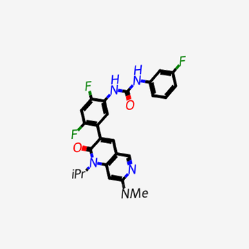 CNc1cc2c(cn1)cc(-c1cc(NC(=O)Nc3cccc(F)c3)c(F)cc1F)c(=O)n2C(C)C